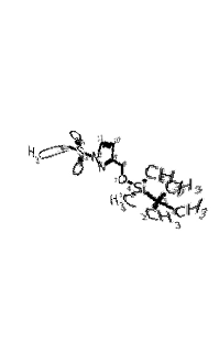 CC(C)(C)[Si](C)(C)OCc1ccn(S(C)(=O)=O)n1